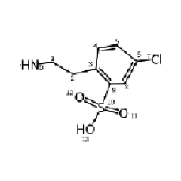 [NH]CCc1ccc(Cl)cc1S(=O)(=O)O